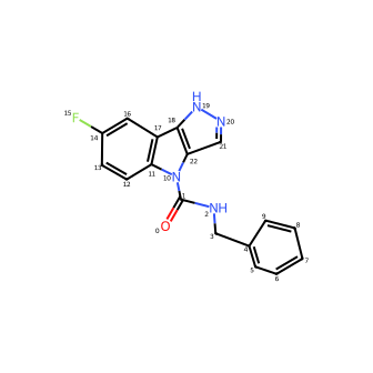 O=C(NCc1ccccc1)n1c2ccc(F)cc2c2[nH]ncc21